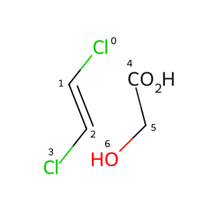 ClC=CCl.O=C(O)CO